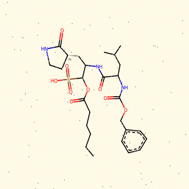 CCCCCC(=O)OC(C(C[C@@H]1CCNC1=O)NC(=O)C(CC(C)C)NC(=O)OCc1ccccc1)S(=O)(=O)O